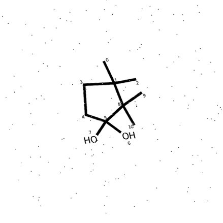 CC1(C)CCC(O)(O)C1(C)C